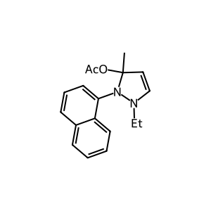 CCN1C=CC(C)(OC(C)=O)N1c1cccc2ccccc12